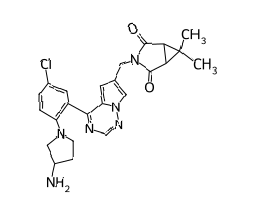 CC1(C)C2C(=O)N(Cc3cc4c(-c5cc(Cl)ccc5N5CCC(N)C5)ncnn4c3)C(=O)C21